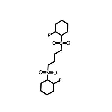 O=S(=O)(CCCCS(=O)(=O)C1CCCCC1F)C1CCCCC1F